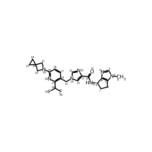 Cn1cnc2c1CC[C@H]2NC(=O)c1cn(Cc2ccc(N3CC4(CC4)C3)nc2C(F)F)cn1